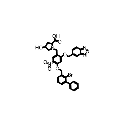 O=C(O)C1CC(O)CN1Cc1cc([N+](=O)[O-])c(OCc2cccc(-c3ccccc3)c2Br)cc1OCc1ccc2nonc2c1